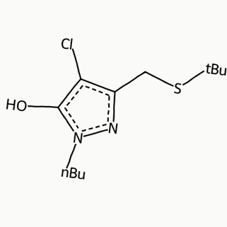 CCCCn1nc(CSC(C)(C)C)c(Cl)c1O